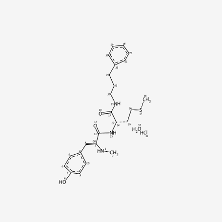 CN[C@@H](Cc1ccc(O)cc1)C(=O)N[C@@H](CCSC)C(=O)NCCCc1ccccc1.Cl.O